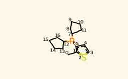 Cc1sccc1P(C1CCCC1)C1CCCC1